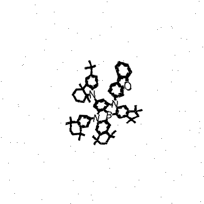 CC(C)(C)c1ccc2c(c1)C1(C)CCCCC1(C)N2c1cc2c3c(c1)N(c1ccc4c(c1)oc1ccccc14)c1cc4c(cc1B3c1cc3c(cc1N2c1ccc2c(c1)C(C)(C)CCC2(C)C)C(C)(C)CCC3(C)C)C(C)(C)CC4(C)C